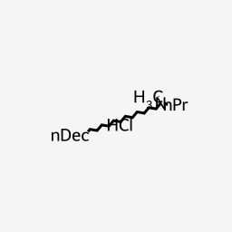 CCCCCCCCCCCCCCCCCCCCCCN(C)CCC.Cl